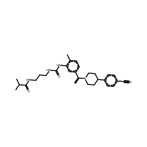 C=C(c1ccc(C)c(NC(=O)NCCCNC(=O)C(C)C)c1)N1CCC(c2ccc(C#N)cc2)CC1